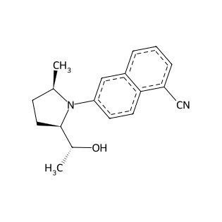 C[C@@H]1CC[C@H]([C@@H](C)O)N1c1ccc2c(C#N)cccc2c1